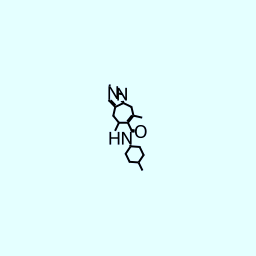 CC1=C(C(=O)NC2CCC(C)CC2)C(C)Cc2cn(C)nc2C1